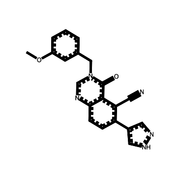 COc1cccc(Cn2cnc3ccc(-c4cn[nH]c4)c(C#N)c3c2=O)c1